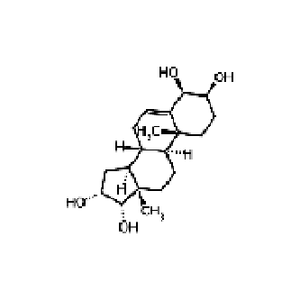 C[C@]12CC[C@H]3[C@@H](CC=C4[C@@H](O)[C@@H](O)CC[C@@]43C)[C@@H]1C[C@@H](O)[C@H]2O